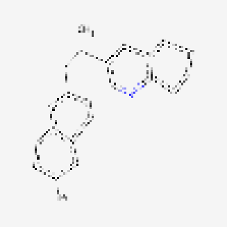 CC(C)c1ccc2cc(CC(C)c3cnc4ccccc4c3)ccc2c1